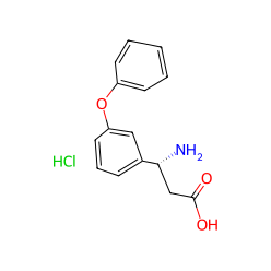 Cl.N[C@H](CC(=O)O)c1cccc(Oc2ccccc2)c1